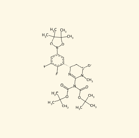 CN1C(N(C(=O)OC(C)(C)C)C(=O)OC(C)(C)C)=N[C@H](c2cc(B3OC(C)(C)C(C)(C)O3)cc(F)c2F)C[S+]1[O-]